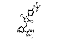 N=C(N)c1cnccc1CN1CC(=O)N(c2ccc(SC(F)(F)F)cc2)C1=O